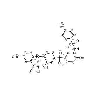 CCC(CC)(Nc1cc(C(c2ccc(O)c(NS(=O)(=O)c3ccc(C)cc3)c2)(C(F)(F)F)C(F)(F)F)ccc1O)C(=O)c1cccc(C=O)c1